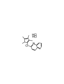 CC1=C(C)C(C)[C]([Cr][c]2ccc3ccccc3n2)=C1C.Cl.Cl